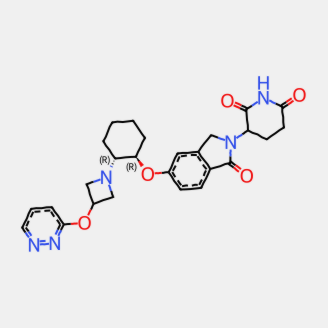 O=C1CCC(N2Cc3cc(O[C@@H]4CCCC[C@H]4N4CC(Oc5cccnn5)C4)ccc3C2=O)C(=O)N1